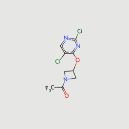 O=C(N1CC(Oc2nc(Cl)ncc2Cl)C1)C(F)(F)F